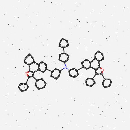 c1ccc(-c2ccc(N(c3cccc(-c4ccc5c6ccccc6c6oc(-c7ccccc7)c(-c7ccccc7)c6c5c4)c3)c3cccc(-c4ccc5c6ccccc6c6oc(-c7ccccc7)c(-c7ccccc7)c6c5c4)c3)cc2)cc1